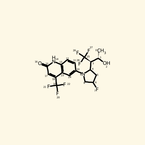 C[C@H](O)[C@@H](C1CC(F)CN1c1ccc2[nH]c(=O)cc(C(F)(F)F)c2c1)C(F)(F)F